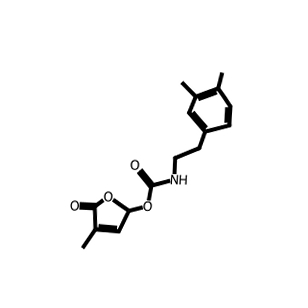 CC1=CC(OC(=O)NCCc2ccc(C)c(C)c2)OC1=O